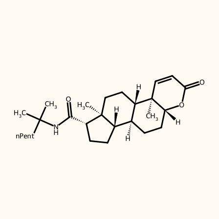 CCCCCC(C)(C)NC(=O)[C@H]1CC[C@H]2[C@@H]3CC[C@H]4OC(=O)C=C[C@]4(C)[C@H]3CC[C@]12C